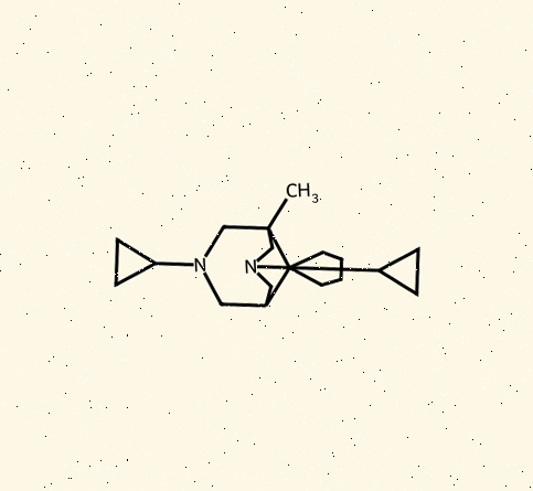 CC12CN(C3CC3)CC(CN(C3CC3)C1)C21CCCC1